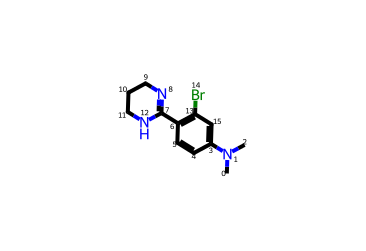 CN(C)c1ccc(C2=NCCCN2)c(Br)c1